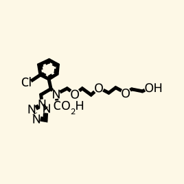 O=C(O)N(COCCOCCOCCO)C(Cn1ncnn1)c1ccccc1Cl